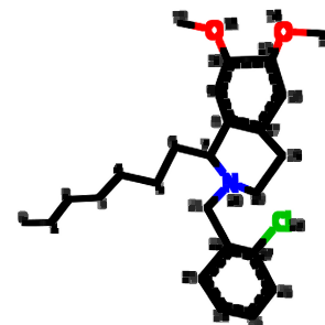 CCCCCCCC1c2cc(OC)c(OC)cc2CCN1Cc1ccccc1Cl